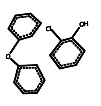 Oc1ccccc1Cl.c1ccc(Oc2ccccc2)cc1